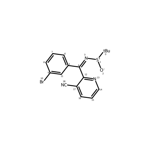 CC(C)(C)[S+]([O-])N=C(c1cccc(Br)c1)c1ncccc1C#N